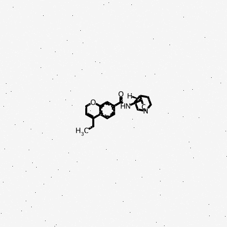 CCC1=CCOc2cc(C(=O)N[C@H]3CN4CCC3CC4)ccc21